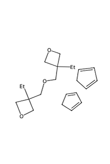 C1=CCC=C1.C1=CCC=C1.CCC1(COCC2(CC)COC2)COC1